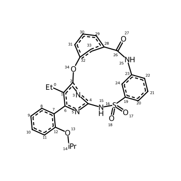 CCc1c2nc(nc1-c1ccccc1OC(C)C)NS(=O)(=O)c1cccc(c1)NC(=O)c1cccc(c1)O2